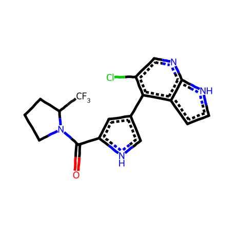 O=C(c1cc(-c2c(Cl)cnc3[nH]ccc23)c[nH]1)N1CCCC1C(F)(F)F